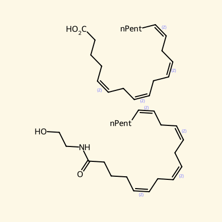 CCCCC/C=C\C/C=C\C/C=C\C/C=C\CCCC(=O)NCCO.CCCCC/C=C\C/C=C\C/C=C\C/C=C\CCCC(=O)O